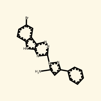 Nc1cc(-c2ccccc2)nn1-c1nnc2c(n1)[nH]c1ccc(Br)cc12